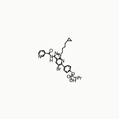 CCCP(=O)(O)Oc1ccc(-c2nc3c(cc2Br)c(NC(=O)c2cccnc2)nn3CCCCC2CC2)cc1